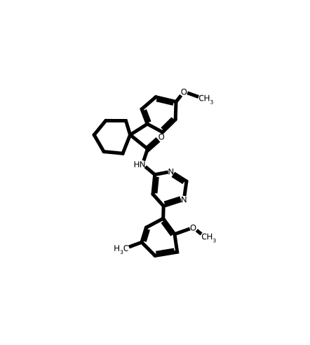 COc1ccc(C2(C(=O)Nc3cc(-c4cc(C)ccc4OC)ncn3)CCCCC2)cc1